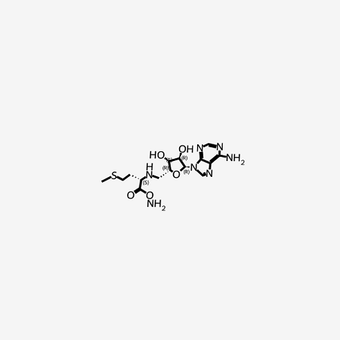 CSCC[C@H](NC[C@H]1O[C@@H](n2cnc3c(N)ncnc32)[C@H](O)[C@@H]1O)C(=O)ON